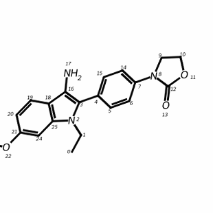 CCn1c(-c2ccc(N3CCOC3=O)cc2)c(N)c2ccc(OC)cc21